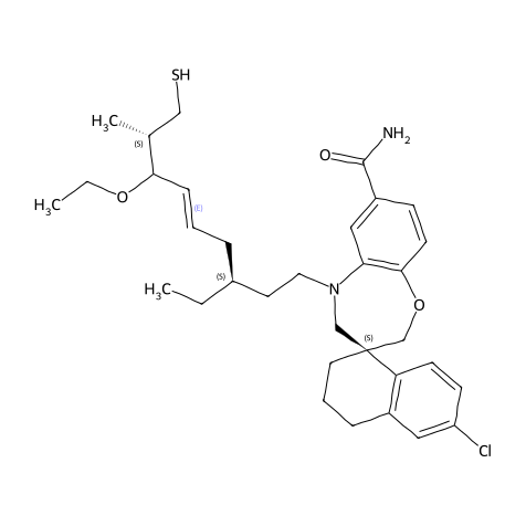 CCOC(/C=C/C[C@H](CC)CCN1C[C@@]2(CCCc3cc(Cl)ccc32)COc2ccc(C(N)=O)cc21)[C@H](C)CS